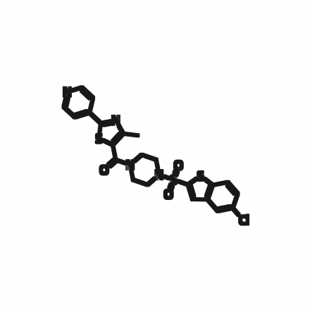 Cc1nc(-c2ccncc2)sc1C(=O)N1CCN(S(=O)(=O)c2cc3cc(Cl)ccc3s2)CC1